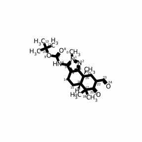 Cn1nc2c(c1NC(=O)OC(C)(C)C)CC[C@H]1C(C)(C)C(=O)C(C=O)C[C@]21C